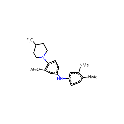 CNc1ccc(Nc2ccc(N3CCC(C(F)(F)F)CC3)c(OC)c2)cc1NC